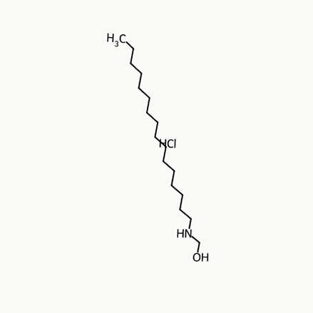 CCCCCCCCCCCCCCCCNCO.Cl